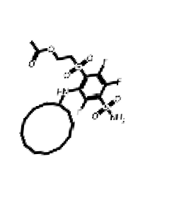 CC(=O)OCCS(=O)(=O)c1c(F)c(F)c(S(N)(=O)=O)c(F)c1NC1CCCCCCCCCCC1